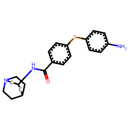 Nc1ccc(Sc2ccc(C(=O)NC3CC4CCN(CC4)C3)cc2)cc1